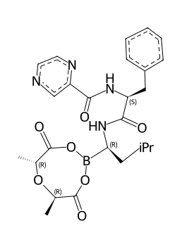 CC(C)C[C@H](NC(=O)[C@H](Cc1ccccc1)NC(=O)c1cnccn1)B1OC(=O)[C@@H](C)O[C@H](C)C(=O)O1